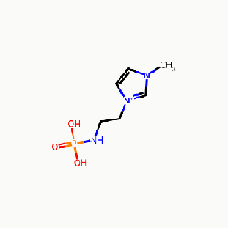 Cn1cc[n+](CCNP(=O)(O)O)c1